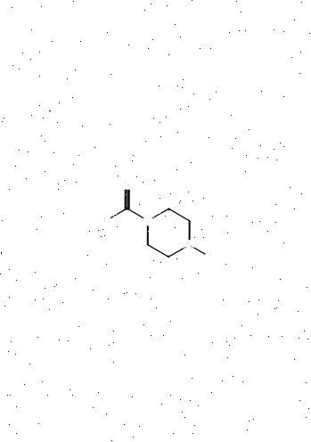 CC(=O)N1CCN(C(=N)N)CC1.I